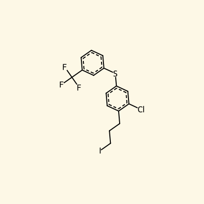 FC(F)(F)c1cccc(Sc2ccc(CCCI)c(Cl)c2)c1